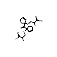 CC(COC1(C(=O)C2(OCC(C)C(=O)O)C=CCC2)C=CCC1)C(=O)O